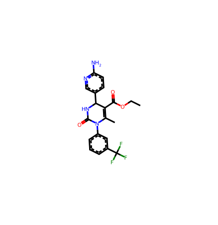 CCOC(=O)C1=C(C)N(c2cccc(C(F)(F)F)c2)C(=O)NC1c1ccc(N)nc1